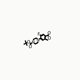 CC(C)(C)OC(=O)N1CCN(c2cc3c(cc2F)C(=O)OC3)CC1